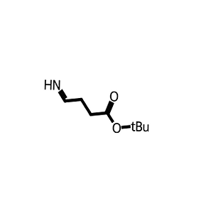 CC(C)(C)OC(=O)CCC=N